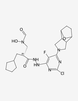 O=CN(O)C[C@@H](CC1CCCC1)C(=O)NNc1nc(Cl)nc(N2CC3C4CCC(O4)C3C2)c1F